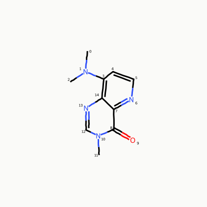 CN(C)c1ccnc2c(=O)n(C)cnc12